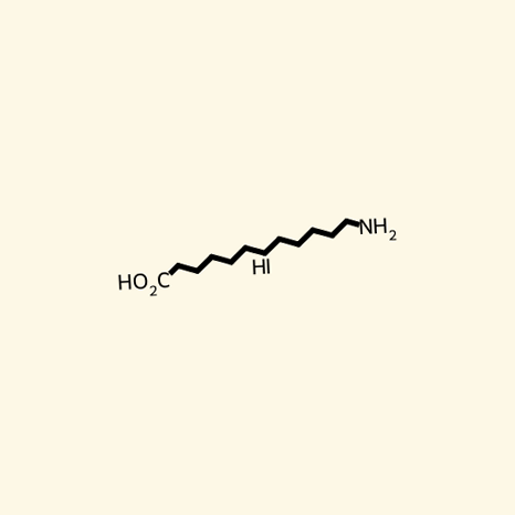 I.NCCCCCCCCCCCC(=O)O